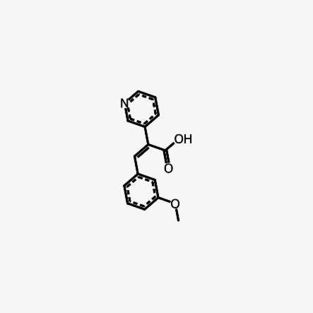 COc1cccc(C=C(C(=O)O)c2cccnc2)c1